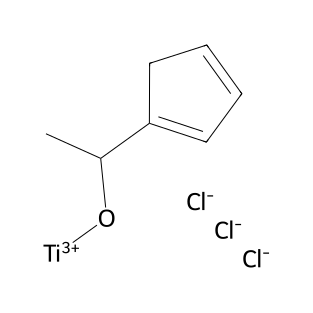 CC([O][Ti+3])C1=CC=CC1.[Cl-].[Cl-].[Cl-]